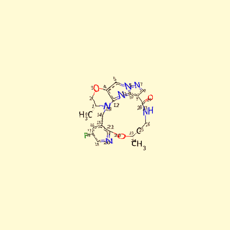 C[C@@H]1COc2cn3ncc4c3nc2N1Cc1cc(F)cnc1O[C@@H](C)CCNC4=O